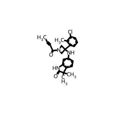 CC#CC(=O)N1CC(Nc2ccc3c(c2)NC(=O)C3(C)C)(c2cccc(Cl)c2C)C1